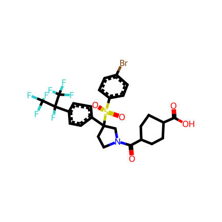 O=C(O)C1CCC(C(=O)N2CCC(c3ccc(C(F)(C(F)(F)F)C(F)(F)F)cc3)(S(=O)(=O)c3ccc(Br)cc3)C2)CC1